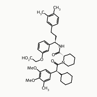 COc1cc([C@@H](C(=O)N2CCCC[C@H]2C(=O)N[C@H](CCc2ccc(C)c(C)c2)c2cccc(OCC(=O)O)c2)C2CCCCC2)cc(C)c1OC